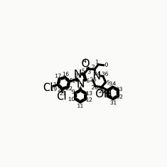 CCC(C(=O)c1cn(-c2ccccc2)c(-c2ccc(Cl)c(Cl)c2)n1)N1CCC(O)(c2ccccc2)CC1